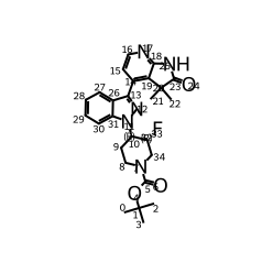 CC(C)(C)OC(=O)N1CC[C@@H](n2nc(-c3ccnc4c3C(C)(C)C(=O)N4)c3ccccc32)[C@H](F)C1